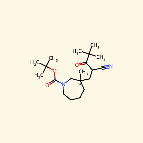 CC(C)(C)OC(=O)N1CCCC[C@@](C)(CC(C#N)C(=O)C(C)(C)C)C1